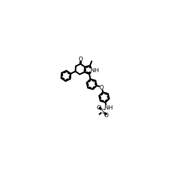 Cc1[nH]c(-c2cccc(Oc3ccc(NS(C)(=O)=O)cc3)c2)c2c1C(=O)CC(c1ccccc1)C2